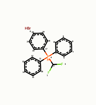 Br.FC(F)[PH](c1ccccc1)(c1ccccc1)c1ccccc1